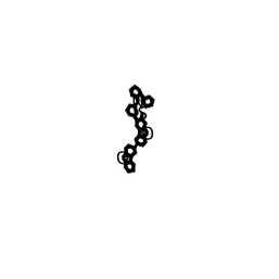 c1ccc2c(c1)oc1ccc(-c3ccc4oc5cc6sc7c(-n8c9ccccc9c9ccccc98)cccc7c6cc5c4c3)cc12